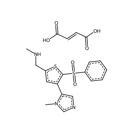 CNCc1cc(-c2cncn2C)c(S(=O)(=O)c2ccccc2)s1.O=C(O)C=CC(=O)O